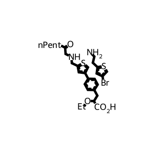 CCCCCC(=O)CNCc1cc(-c2ccc(CC(OCC)C(=O)O)cc2)cs1.NCCc1cc(Br)cs1